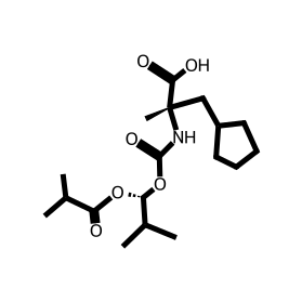 CC(C)C(=O)O[C@H](OC(=O)N[C@@](C)(CC1CCCC1)C(=O)O)C(C)C